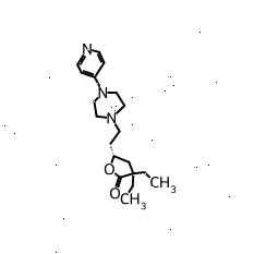 CCC1(CC)C[C@@H](CCN2CCN(c3ccncc3)CC2)OC1=O